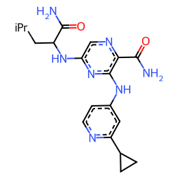 CC(C)CC(Nc1cnc(C(N)=O)c(Nc2ccnc(C3CC3)c2)n1)C(N)=O